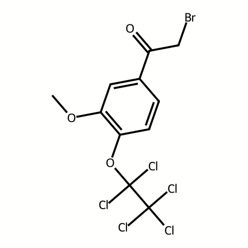 COc1cc(C(=O)CBr)ccc1OC(Cl)(Cl)C(Cl)(Cl)Cl